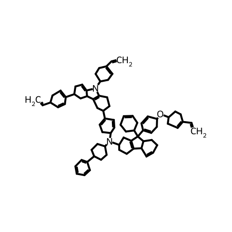 C=CC1=CCC(OC2C=CC(C3(C4CC=CCC4)C4=C(CCC(N(C5C=CC(C6CCC7=C(C6)C6CC(C8=CCC(C=C)C=C8)CC=C6N7C6CC=C(C=C)CC6)=CC5)C5CCC(c6ccccc6)CC5)C4)C4C=CCCC43)=CC2)CC1